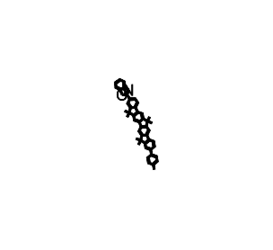 Cc1ccc(-c2ccc3c(c2)C(C)(C)c2cc4c(cc2-3)C(C)(C)c2cc3c(cc2-4)C(C)(C)c2cc(-c4nc5ccccc5o4)ccc2-3)cc1